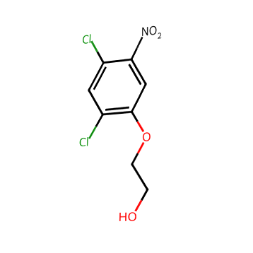 O=[N+]([O-])c1cc(OCCO)c(Cl)cc1Cl